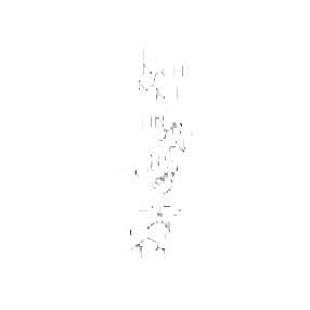 Cc1[nH]cnc1NCCNc1cc(C(=O)NC(C)c2ncc(C(=O)Nc3cc(C(F)(F)F)c(Cl)cn3)s2)ncn1